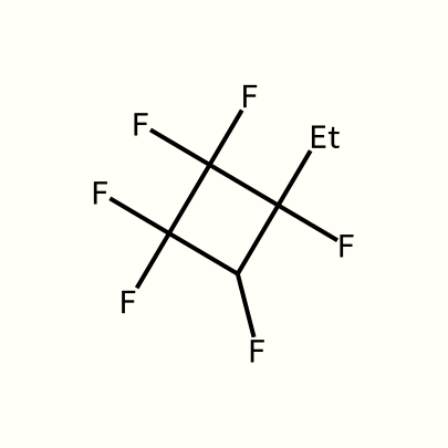 CCC1(F)C(F)C(F)(F)C1(F)F